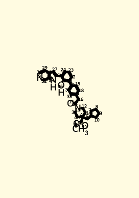 COC(=O)C1(CC2CCCC2)CCN(C(=O)Cc2ccc(-c3cccc(-c4cc5ccncc5[nH]4)c3O)cc2)CC1